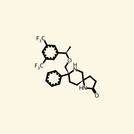 C[C@@H](OC[C@]1(c2ccccc2)CC[C@]2(CCC(=O)N2)CN1)c1cc(C(F)(F)F)cc(C(F)(F)F)c1